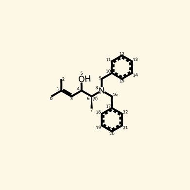 CC(C)=CC(O)[C@H](C)N(Cc1ccccc1)Cc1ccccc1